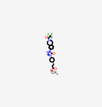 COC(=O)CC[C@H]1CC[C@H](n2cnn(-c3ccc4c(c3)CCN(C(=O)C(F)(F)F)CC4)c2=O)CC1